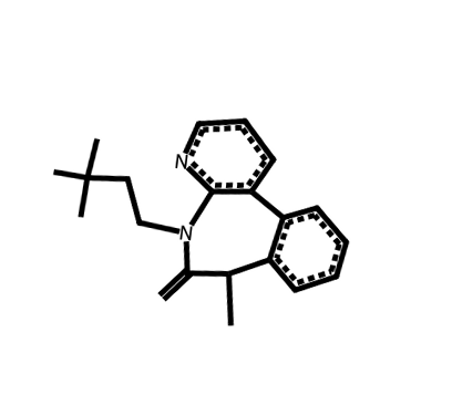 C=C1C(C)c2ccccc2-c2cccnc2N1CCC(C)(C)C